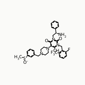 Cc1c(N2CCN(Cc3cccc([S+](C)[O-])c3)CC2)c(=O)n(C[C@H](N)c2ccccc2)c(=O)n1Cc1c(F)cccc1C(F)(F)F